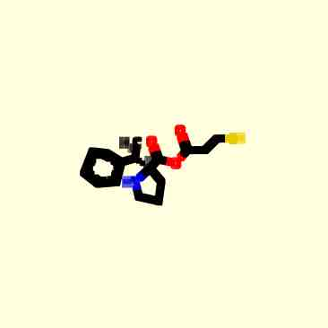 CC(c1ccccc1)[C@]1(C(=O)OC(=O)CCS)CCCN1